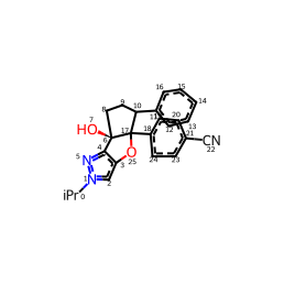 CC(C)n1cc2c(n1)[C@]1(O)CCC(c3ccccc3)C1(c1ccc(C#N)cc1)O2